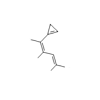 CC(C)=C/C(C)=C(/Cl)C1=CC1